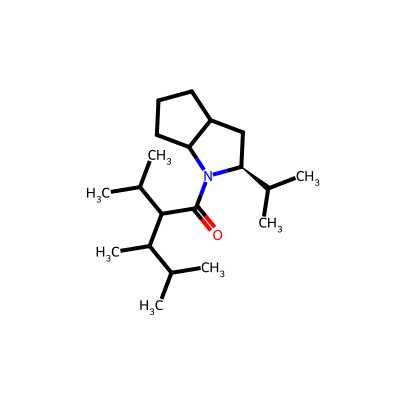 CC(C)C(C)C(C(=O)N1C2CCCC2C[C@H]1C(C)C)C(C)C